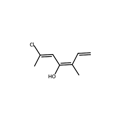 C=C/C(C)=C(O)\C=C(/C)Cl